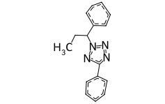 CCC(c1ccccc1)n1nnc(-c2ccccc2)n1